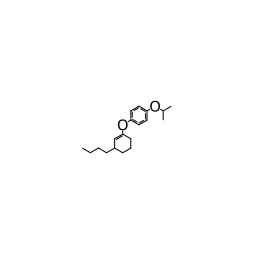 CCCCC1C=C(Oc2ccc(OC(C)C)cc2)CCC1